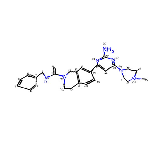 C=C(NCc1ccccc1)N1CCc2ccc(-c3cc(N4CCN(C)CC4)nc(N)n3)cc2C1